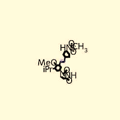 COc1c(/C=C/c2ccc(NS(C)(=O)=O)cc2)cc(-n2ccc(=O)[nH]c2=O)cc1C(C)C